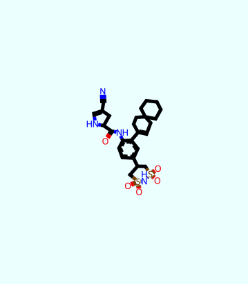 N#CC1=CNC(C(=O)Nc2ccc(C3CS(=O)(=O)NS(=O)(=O)C3)cc2C2=CCC3(CCCCC3)CC2)C1